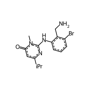 CC(C)c1cc(=O)n(C)c(Nc2cccc(Br)c2CN)n1